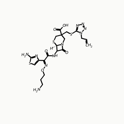 C=CCn1nnnc1SCC1(C(=O)O)CS[C@@H]2C(NC(=O)C(=NOCCCN)c3csc(N)n3)C(=O)N2C1